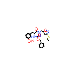 CCSC1=NOC(CNC(=O)C(Cc2cccc(O)c2)NC(=O)OCc2ccccc2)C1